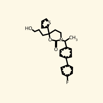 CC(c1ccc(-c2ccc(F)cc2)cc1)N1CCC(CCCO)(c2cccs2)OC1=O